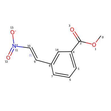 COC(=O)c1cccc(/C=C/[N+](=O)[O-])c1